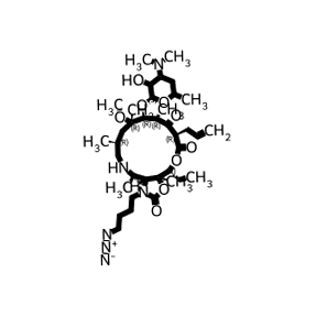 C=CC[C@H]1C(=O)O[C@H](CC)[C@@]2(C)OC(=O)N(CCCCN=[N+]=[N-])[C@@H]2[C@@H](C)NC[C@H](C)C[C@@](C)(OC)[C@H](O[C@@H]2OC(C)CC(N(C)C)C2O)[C@@H](C)C1=O